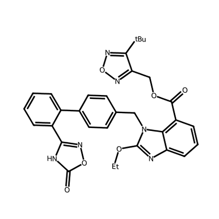 CCOc1nc2cccc(C(=O)OCc3nonc3C(C)(C)C)c2n1Cc1ccc(-c2ccccc2-c2noc(=O)[nH]2)cc1